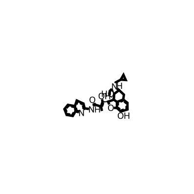 C/C(C(=O)Nc1ccc2ccccc2n1)=C(/O)[C@@H]1Oc2c(O)ccc3c2[C@@]12CCN(CC1CC1)[C@H](C3)[C@@]2(C)O